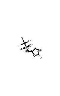 C[C@H]1NCC(NS(=O)(=O)C(F)(F)F)O1